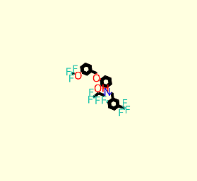 OC(CN(Cc1cc(C(F)(F)F)ccc1F)c1cccc(OCc2cccc(OC(F)(F)F)c2)c1)C(F)(F)F